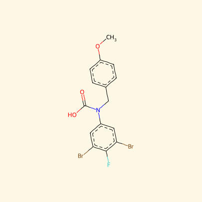 COc1ccc(CN(C(=O)O)c2cc(Br)c(F)c(Br)c2)cc1